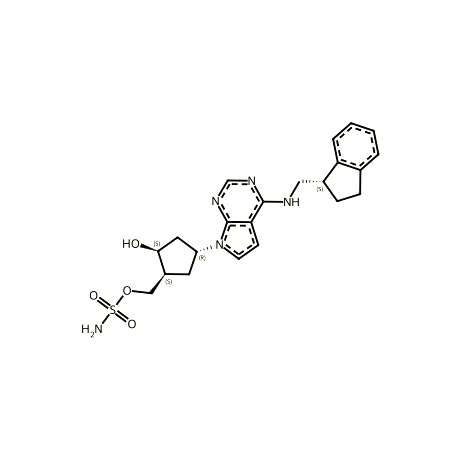 NS(=O)(=O)OC[C@@H]1C[C@@H](n2ccc3c(NC[C@H]4CCc5ccccc54)ncnc32)C[C@@H]1O